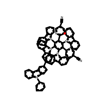 N#Cc1ccc(-c2c(-n3c4ccccc4c4ccccc43)c(-c3ccc(C#N)cn3)c(-n3c4ccccc4c4ccccc43)c(-n3c4ccccc4c4cc(-c5ccc6c(c5)c5ccccc5n6-c5ccccc5)ccc43)c2-n2c3ccccc3c3ccccc32)nc1